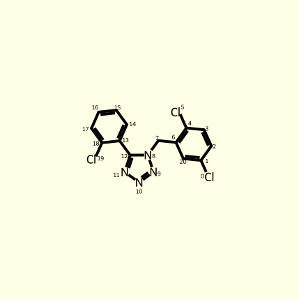 Clc1ccc(Cl)c(Cn2nnnc2-c2ccccc2Cl)c1